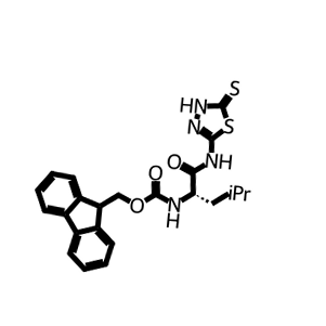 CC(C)C[C@H](NC(=O)OCC1c2ccccc2-c2ccccc21)C(=O)Nc1n[nH]c(=S)s1